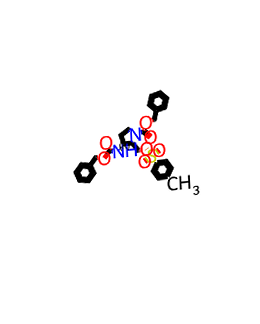 Cc1ccc(S(=O)(=O)OCC2[C@H](NC(=O)OCc3ccccc3)CCN2C(=O)OCc2ccccc2)cc1